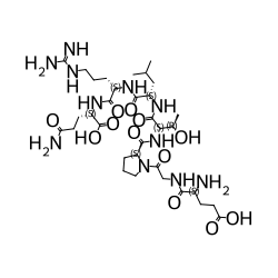 CC(C)C[C@H](NC(=O)[C@@H](NC(=O)[C@@H]1CCCN1C(=O)CNC(=O)[C@@H](N)CCC(=O)O)[C@@H](C)O)C(=O)N[C@@H](CCCNC(=N)N)C(=O)N[C@@H](CCC(N)=O)C(=O)O